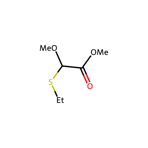 CCSC(OC)C(=O)OC